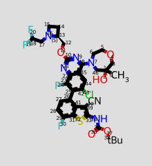 CC1(O)COCCN(c2nc(OC[C@@H]3CCN3CC(F)F)nc3c(F)c(-c4ccc(F)c5sc(NC(=O)OC(C)(C)C)c(C#N)c45)c(Cl)cc23)C1